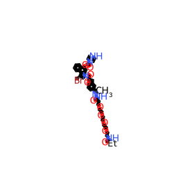 CCC(=O)NCCOCCOCCOCCOCCC(=O)N/N=C(\C)c1ccc2oc(C(=O)N3C[C@@H](CBr)c4c3cc(OC(=O)N3CCNCC3)c3ccccc43)cc2c1